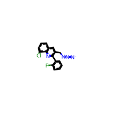 [N-]=[N+]=NCc1cc2cccc(Cl)c2nc1-c1ccccc1F